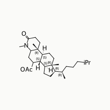 CC(=O)OC1CC2N(C)C(=O)CC[C@]2(C)[C@H]2CC[C@]3(C)[C@@H]([C@H](C)CCCC(C)C)CC[C@H]3[C@H]12